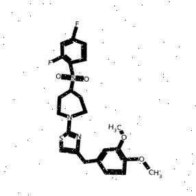 COc1ccc(Cc2csc(N3CCC(S(=O)(=O)c4ccc(F)cc4F)CC3)n2)cc1OC